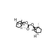 CC1(C)[C@H]2CC[C@]1(C)[C@H](OC(=O)O[C@@H]1C[C@@H]3CC[C@@]1(C)C3(C)C)C2